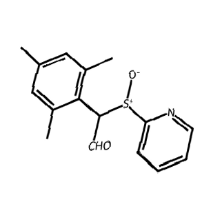 Cc1cc(C)c(C(C=O)[S+]([O-])c2ccccn2)c(C)c1